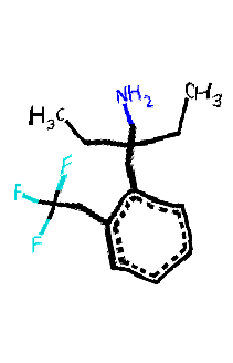 CCC(N)(CC)c1ccccc1C(F)(F)F